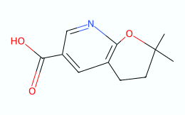 CC1(C)CCc2cc(C(=O)O)cnc2O1